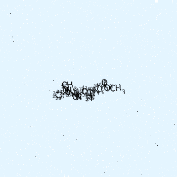 CCOC(=O)C1CCN(CCc2ccc(-c3noc(-c4cc(C5CCCCC5)n(CC)n4)n3)cc2C(F)(F)F)CC1